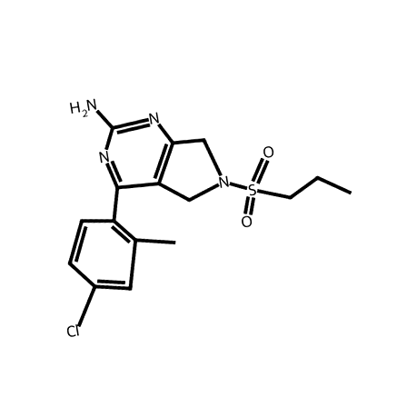 CCCS(=O)(=O)N1Cc2nc(N)nc(-c3ccc(Cl)cc3C)c2C1